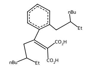 CCCCC(CC)CC(=C(C(=O)O)C(=O)O)c1ccccc1CC(CC)CCCC